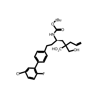 C=CCC(CO)(C[C@@H](CCc1ccc(-c2cc(Cl)ccc2F)cc1)NC(=O)OC(C)(C)C)C(=O)O